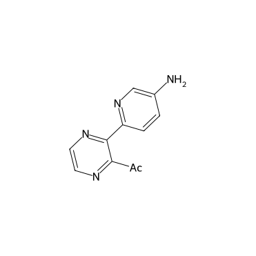 CC(=O)c1nccnc1-c1ccc(N)cn1